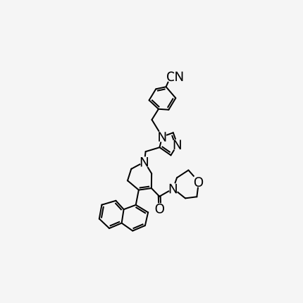 N#Cc1ccc(Cn2cncc2CN2CCC(c3cccc4ccccc34)=C(C(=O)N3CCOCC3)C2)cc1